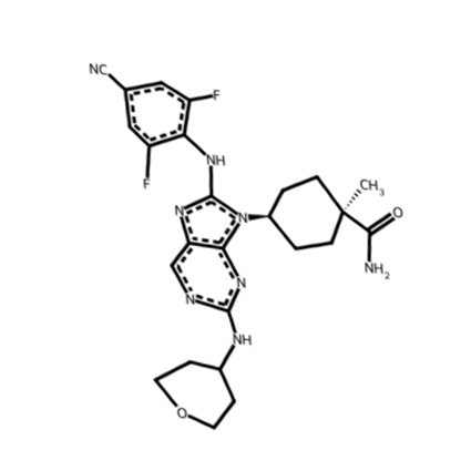 C[C@]1(C(N)=O)CC[C@@H](n2c(Nc3c(F)cc(C#N)cc3F)nc3cnc(NC4CCOCC4)nc32)CC1